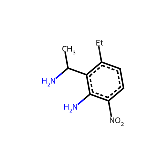 CCc1ccc([N+](=O)[O-])c(N)c1C(C)N